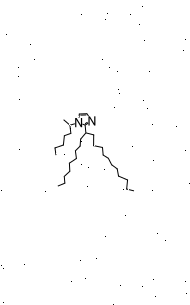 CCCCCCCCCCCC(CCCCCCCCC)c1nccn1C(C)CCCCC